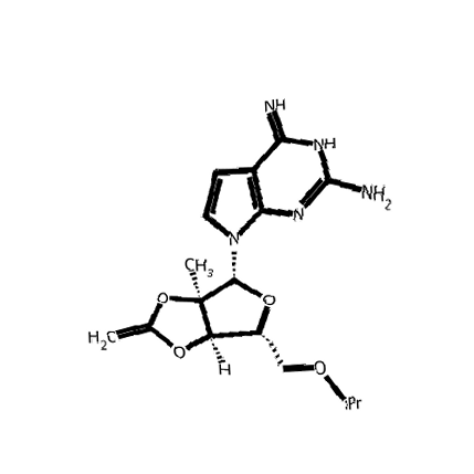 C=C1O[C@@H]2[C@@H](COC(C)C)O[C@@H](n3ccc4c(=N)[nH]c(N)nc43)[C@]2(C)O1